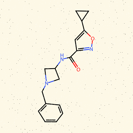 O=C(NC1CN(Cc2ccccc2)C1)c1cc(C2CC2)on1